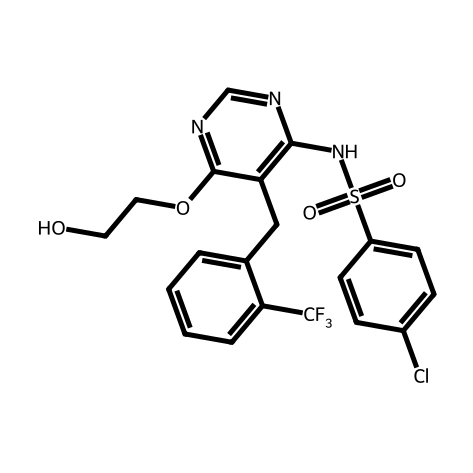 O=S(=O)(Nc1ncnc(OCCO)c1Cc1ccccc1C(F)(F)F)c1ccc(Cl)cc1